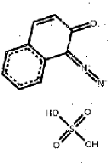 O=S(=O)(O)O.[N-]=[N+]=C1C(=O)C=Cc2ccccc21